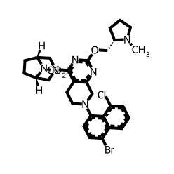 CN1CCC[C@H]1COc1nc2c(c(N3C[C@H]4CC[C@@H](C3)N4C(=O)O)n1)CCN(c1ccc(Br)c3cccc(Cl)c13)C2